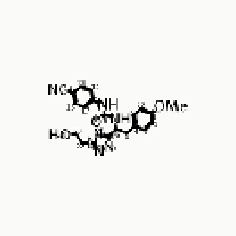 COc1ccc(CC(NC(=O)Nc2ccc(C#N)cc2)c2nnn(CCO)n2)cc1